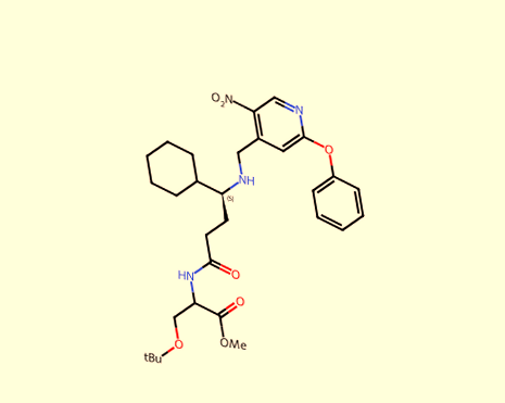 COC(=O)C(COC(C)(C)C)NC(=O)CC[C@H](NCc1cc(Oc2ccccc2)ncc1[N+](=O)[O-])C1CCCCC1